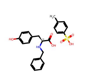 Cc1ccc(S(=O)(=O)O)cc1.O=C(O)[C@H](Cc1ccc(O)cc1)NCc1ccccc1